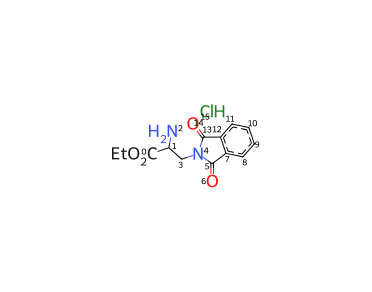 CCOC(=O)C(N)CN1C(=O)c2ccccc2C1=O.Cl